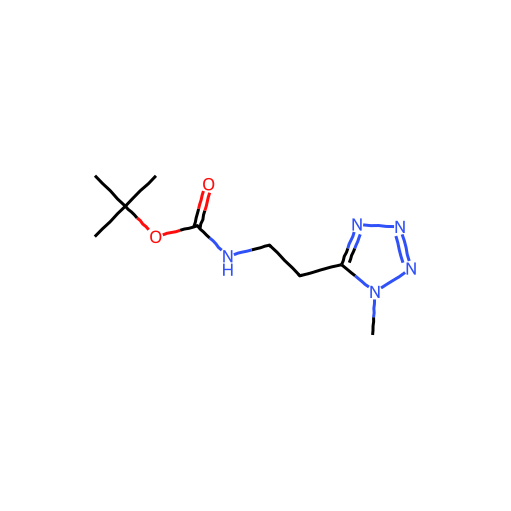 Cn1nnnc1CCNC(=O)OC(C)(C)C